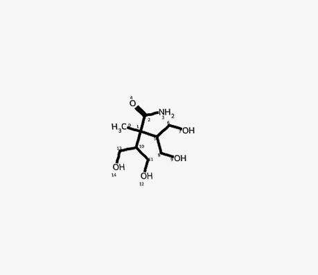 CC(C(N)=O)(C(CO)CO)C(CO)CO